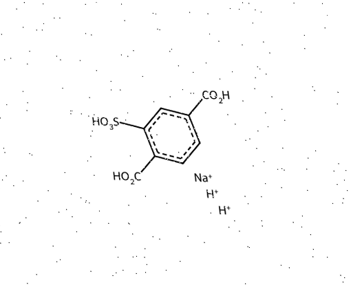 O=C(O)c1ccc(C(=O)O)c(S(=O)(=O)O)c1.[H+].[H+].[Na+]